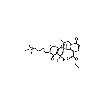 CCOC(=O)c1ccc(=O)n(C[C@H](C)Nc2cnn(COCC[Si](C)(C)C)c(=O)c2C(F)(F)F)c1Cl